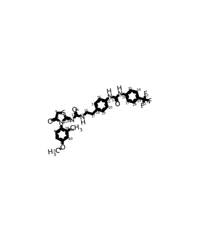 COc1ccc(N2C(=O)CS/C2=N\C(=O)NCCc2ccc(NC(=O)Nc3ccc(C(F)(F)F)cc3)cc2)c(C)c1